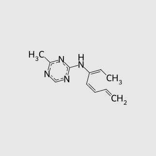 C=C/C=C\C(=C/C)Nc1ncnc(C)n1